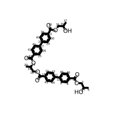 CC(O)COC(=O)c1ccc(-c2ccc(C(=O)OCC(C)OC(=O)c3ccc(-c4ccc(C(=O)OCC(C)O)cc4)cc3)cc2)cc1